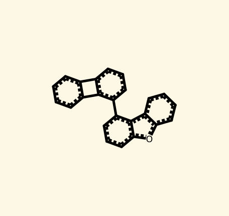 c1ccc2c(c1)-c1cccc(-c3cccc4oc5ccccc5c34)c1-2